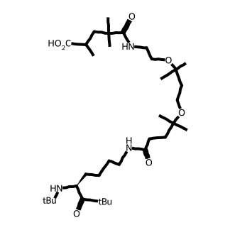 CC(CC(C)(C)C(=O)NCCOC(C)(C)CCOC(C)(C)CCC(=O)NCCCC[C@H](NC(C)(C)C)C(=O)C(C)(C)C)C(=O)O